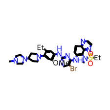 CCc1cc(Nc2ncc(Br)c(Nc3ccc4nccnc4c3N(C)S(=O)(=O)CC)n2)c(OC)cc1N1CCC(N2CCN(C)CC2)CC1